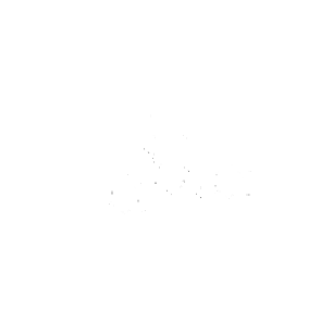 CC1C(N/C(=N\C(=O)c2ccc(C(F)(F)F)cc2)Nc2cccc(Cl)c2)NNC1C(F)(F)F